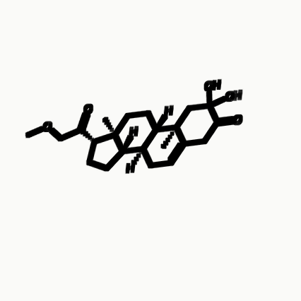 COCC(=O)[C@H]1CC[C@H]2[C@@H]3CC=C4CC(=O)C(O)(O)C[C@]4(C)[C@H]3CC[C@]12C